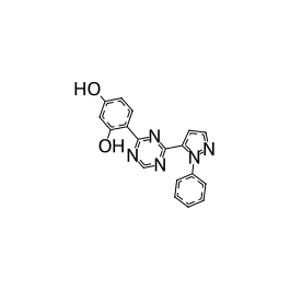 Oc1ccc(-c2ncnc(-c3ccnn3-c3ccccc3)n2)c(O)c1